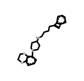 C1=C(CCCCNC2CCN(c3cccc4c3OCCO4)CC2)c2ccccc21